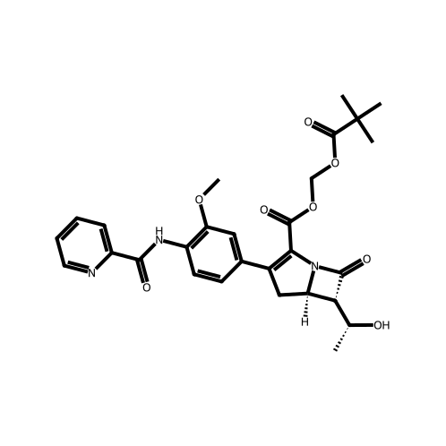 COc1cc(C2=C(C(=O)OCOC(=O)C(C)(C)C)N3C(=O)[C@H]([C@@H](C)O)[C@H]3C2)ccc1NC(=O)c1ccccn1